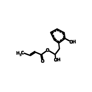 CC=CC(=O)OC(O)Cc1ccccc1O